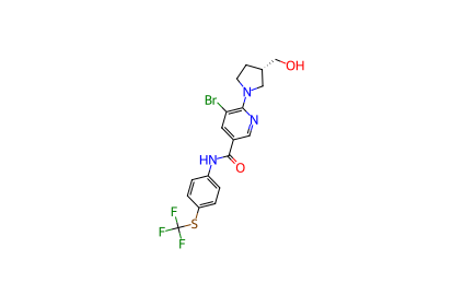 O=C(Nc1ccc(SC(F)(F)F)cc1)c1cnc(N2CC[C@H](CO)C2)c(Br)c1